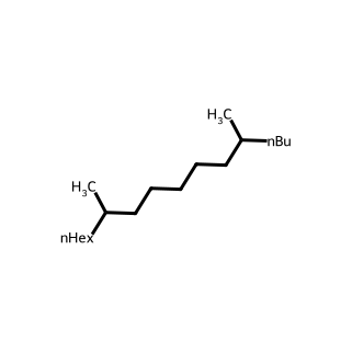 [CH2]CCCC(C)CCCCCC(C)CCCCCC